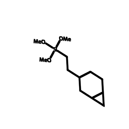 CO[Si](CCC1CCC2CC2C1)(OC)OC